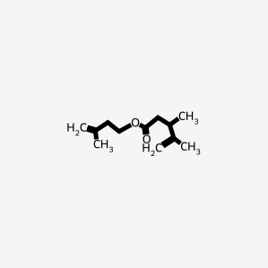 C=C(C)CCOC(=O)CC(C)C(=C)C